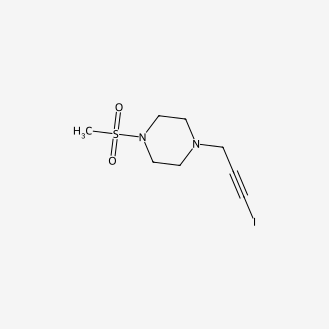 CS(=O)(=O)N1CCN(CC#CI)CC1